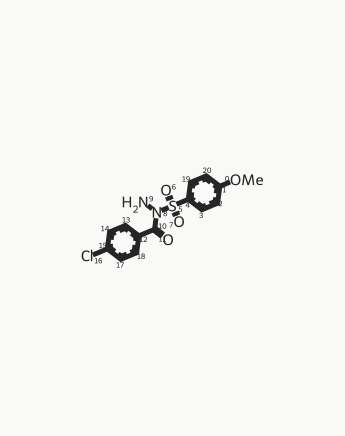 COc1ccc(S(=O)(=O)N(N)C(=O)c2ccc(Cl)cc2)cc1